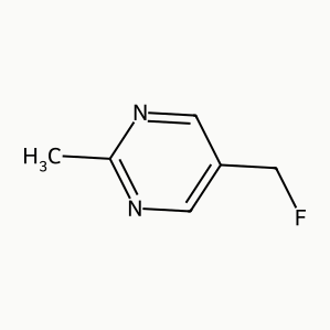 Cc1ncc(CF)cn1